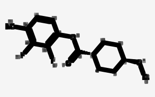 CCO[C@H]1CC[C@H](C(=O)Oc2ccc(C#N)c(F)c2F)CC1